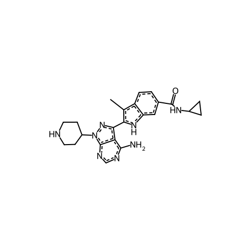 Cc1c(-c2nn(C3CCNCC3)c3ncnc(N)c23)[nH]c2cc(C(=O)NC3CC3)ccc12